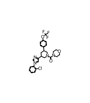 O=C(N1CCOCC1)N1CC(c2ccc(OC(F)(F)F)cc2)CC(c2cn(-c3ccccc3Cl)cn2)C1